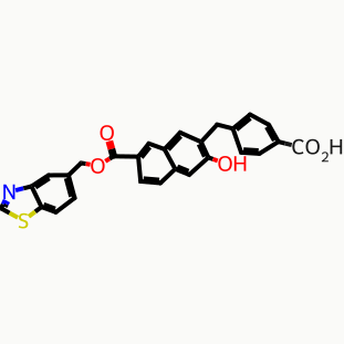 O=C(O)c1ccc(Cc2cc3cc(C(=O)OCc4ccc5scnc5c4)ccc3cc2O)cc1